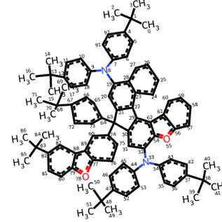 CC(C)(C)c1ccc(N(c2ccc(C(C)(C)C)cc2)c2cc3c(c4ccccc24)-c2c(cc(N(c4ccc(C(C)(C)C)cc4)c4ccc(C(C)(C)C)cc4)c4oc5ccccc5c24)C3(c2ccc(C(C)(C)C)cc2)c2ccc3oc4ccc(C(C)(C)C)cc4c3c2)cc1